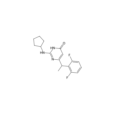 CC(c1cc(=O)[nH]c(NC2CCCC2)n1)c1c(F)cccc1F